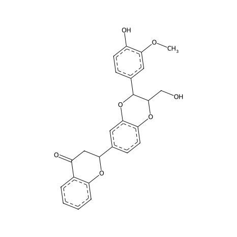 COc1cc(C2Oc3cc(C4CC(=O)c5ccccc5O4)ccc3OC2CO)ccc1O